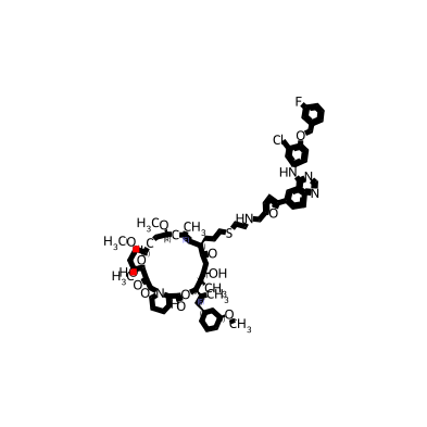 CO[C@@H]1CC[C@H]2O[C@@](O)(C(=O)C(=O)N3CCCC[C@H]3C(=O)O[C@H](/C(C)=C/[C@@H]3CCC[C@H](OC)C3)[C@H](C)[C@@H](O)CC(=O)[C@H](CCCSCCNCc3ccc(-c4ccc5ncnc(Nc6ccc(OCc7cccc(F)c7)c(Cl)c6)c5c4)o3)/C=C(\C)C1)[C@H](C)C[C@@H]2OC